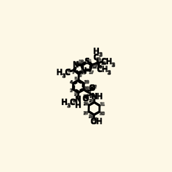 CNc1ccc(-c2c(C)nc3sc(C(C)(C)C)cn23)cc1S(=O)(=O)NC1CCC(O)CC1